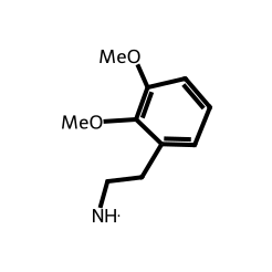 COc1cccc(CC[NH])c1OC